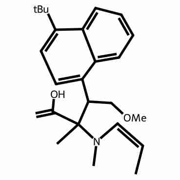 C=C(O)C(C)(C(COC)c1ccc(C(C)(C)C)c2ccccc12)N(C)/C=C\C